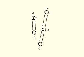 O=[Si]=O.[O]=[Zr]